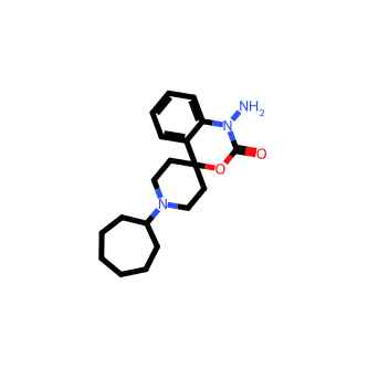 NN1C(=O)OC2(CCN(C3CCCCCC3)CC2)c2ccccc21